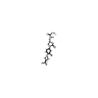 CC(=O)NCC1CN(c2ccc(N3CC(=C(F)F)C3)c(F)c2)C(=O)O1